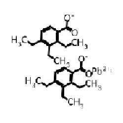 CCc1ccc(C(=O)[O-])c(CC)c1CC.CCc1ccc(C(=O)[O-])c(CC)c1CC.[Pb+2]